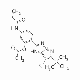 CCC(=O)Nc1ccc(-c2nn3nc(C(C)(C)C)c(Cl)c3[nH]2)c(OC(C)=O)c1